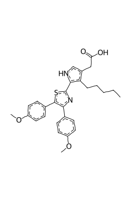 CCCCCc1c(CC(=O)O)c[nH]c1-c1nc(-c2ccc(OC)cc2)c(-c2ccc(OC)cc2)s1